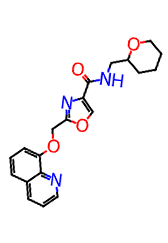 O=C(NCC1CCCCO1)c1coc(COc2cccc3cccnc23)n1